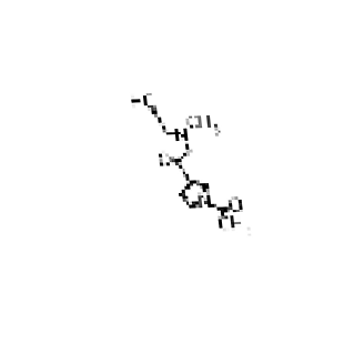 C#CCN(C)CC(=O)c1ccn(C(C)=O)c1